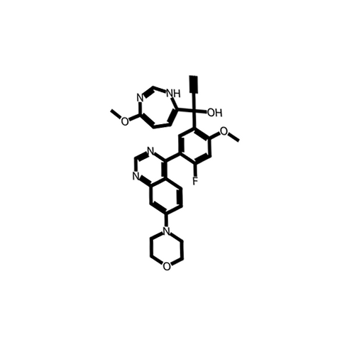 C#CC(O)(C1=CC=C(OC)N=CN1)c1cc(-c2ncnc3cc(N4CCOCC4)ccc23)c(F)cc1OC